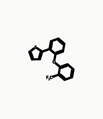 FC(F)(F)c1ccccc1Oc1ccccc1-c1cccs1